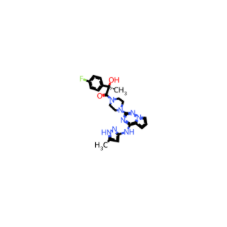 Cc1cc(Nc2nc(N3CCN(C(=O)[C@](C)(O)c4ccc(F)cc4)CC3)nn3cccc23)n[nH]1